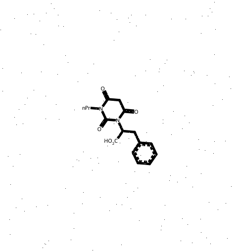 CCCN1C(=O)CC(=O)N(C(Cc2ccccc2)C(=O)O)C1=O